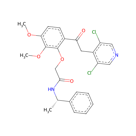 COc1ccc(C(=O)Cc2c(Cl)cncc2Cl)c(OCC(=O)N[C@@H](C)c2ccccc2)c1OC